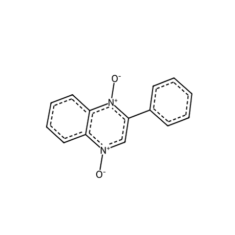 [O-][n+]1cc(-c2ccccc2)[n+]([O-])c2ccccc21